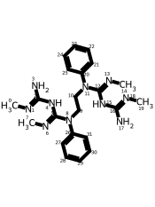 CN=C(N)NC(=NC)N(CCN(C(=NC)NC(N)=NC)c1ccccc1)c1ccccc1